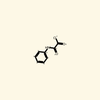 O=C(Cl)C(=O)Nc1ccccc1